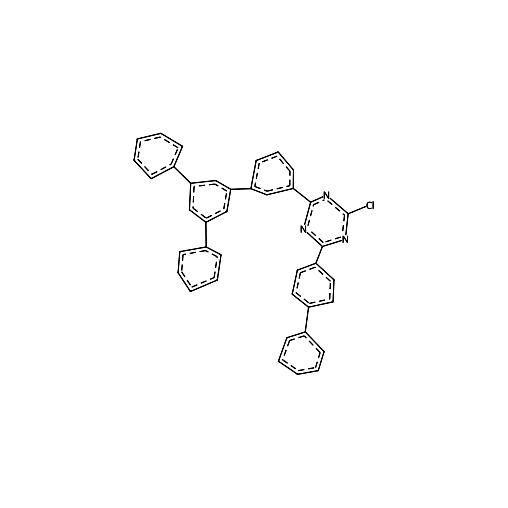 Clc1nc(-c2ccc(-c3ccccc3)cc2)nc(-c2cccc(-c3cc(-c4ccccc4)cc(-c4ccccc4)c3)c2)n1